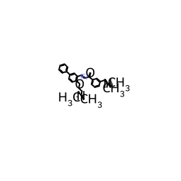 CN(C)CCOc1ccc(-c2ccccc2)cc1/C=C/C(=O)c1cccc(CN(C)C)c1